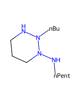 CCCCCNN1CCCNN1CCCC